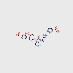 CC(CCNCc1cc(C(=O)O)ccn1)n1c(=O)n(C2=CC=C(c3ccc(CC(=O)O)cc3)C(O)=CC2)c2cccnc21